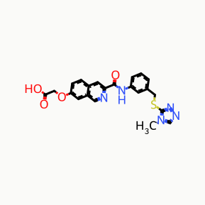 Cn1cnnc1SCc1cccc(NC(=O)c2cc3ccc(OCC(=O)O)cc3cn2)c1